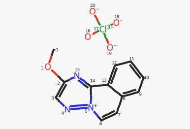 COc1cn[n+]2ccc3ccccc3c2n1.[O-][Cl+3]([O-])([O-])[O-]